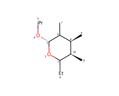 CCC1O[C@H](OC(C)C)C(C)[C@@H](C)[C@H]1C